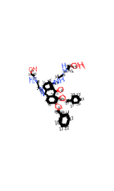 O=C1c2c(ccc(OCc3ccccc3)c2OCc2ccccc2)-c2nn(CCNCCO)c3ccc(NCCNCCO)c1c23